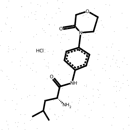 CC(C)C[C@@H](N)C(=O)Nc1ccc(N2CCOCC2=O)cc1.Cl